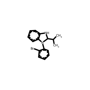 CC(C)C1Nc2ccccc2N1c1ccccc1Br